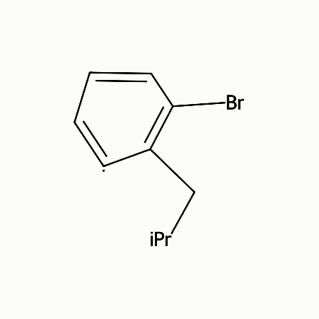 CC(C)Cc1[c]cccc1Br